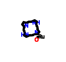 C1=Cc2cc3ccc(cc4nc(cc5ccc(cc1n2)[nH]5)C=C4)[nH]3.O=[CH][Ru]